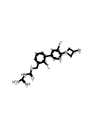 N=C(N)NC(=O)OCc1cccc(-c2cnc(N3CC(Br)C3)c(F)c2)c1F